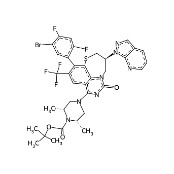 C[C@@H]1CN(c2nc(=O)n3c4c(c(-c5cc(Br)c(F)cc5F)c(C(F)(F)F)cc24)SC[C@@H](n2ncc4cccnc42)C3)C[C@H](C)N1C(=O)OC(C)(C)C